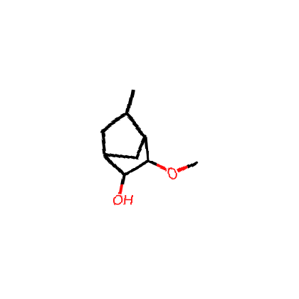 COC1C(O)C2CC(C)C1C2